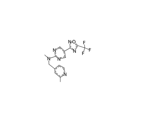 Cc1cc(CN(C)c2ncc(-c3noc(C(F)(F)F)n3)cn2)ccn1